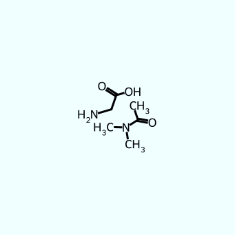 CC(=O)N(C)C.NCC(=O)O